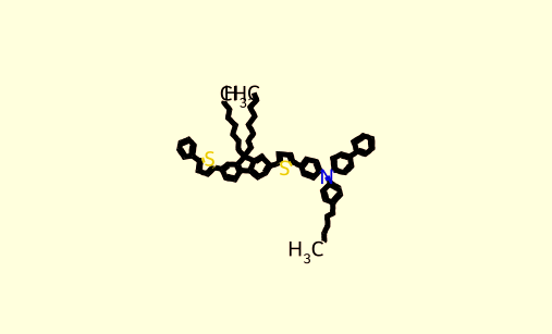 CCCCCCCCC1(CCCCCCCC)c2cc(-c3ccc(-c4ccccc4)s3)ccc2-c2ccc(-c3ccc(-c4ccc(N(c5ccc(CCCCCC)cc5)c5ccc(-c6ccccc6)cc5)cc4)s3)cc21